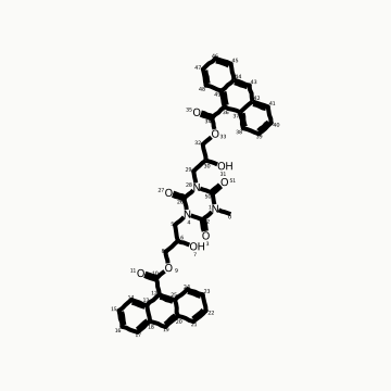 Cn1c(=O)n(CC(O)COC(=O)c2c3ccccc3cc3ccccc23)c(=O)n(CC(O)COC(=O)c2c3ccccc3cc3ccccc23)c1=O